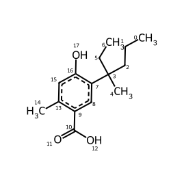 CCCC(C)(CC)c1cc(C(=O)O)c(C)cc1O